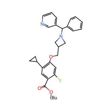 CC(C)(C)OC(=O)c1cc(C2CC2)c(OCC2CN(C(c3ccccc3)c3cccnc3)C2)cc1F